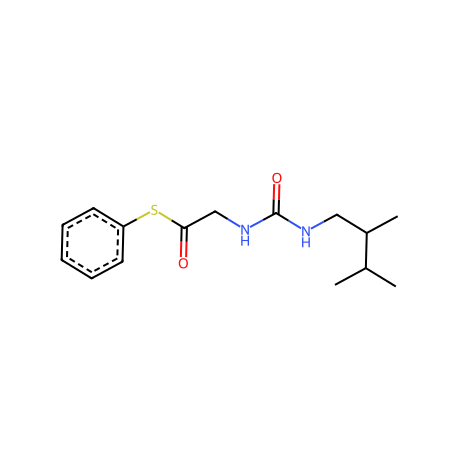 CC(C)C(C)CNC(=O)NCC(=O)Sc1ccccc1